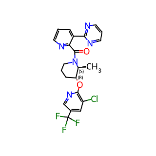 C[C@H]1[C@H](Oc2ncc(C(F)(F)F)cc2Cl)CCCN1C(=O)c1ncccc1-c1ncccn1